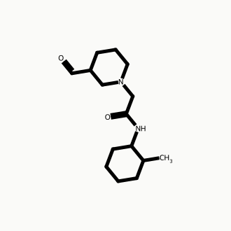 CC1CCCCC1NC(=O)CN1CCCC(C=O)C1